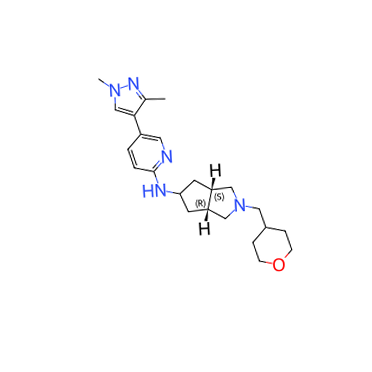 Cc1nn(C)cc1-c1ccc(NC2C[C@@H]3CN(CC4CCOCC4)C[C@@H]3C2)nc1